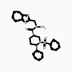 CN(Cc1nc2ccccc2s1)C(=O)[C@@H]1CC[C@H](c2ccccc2)N(S(=O)(=O)c2ccccc2)C1